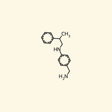 CC(CNc1ccc(CN)cc1)c1ccccc1